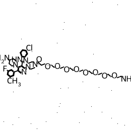 Cc1cc(F)cc(-c2cnc(N3CCN(C(=O)CCOCCOCCOCCOCCOCCOCCOCCOCCN)CC3)c(-c3nc4cc(Cl)ccc4[nH]3)c2N2CCC(N)CC2)c1